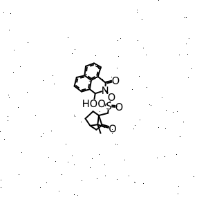 CC1(C)C2CCC1(CS(=O)(=O)ON1C(=O)c3cccc4cccc(c34)C1O)C(=O)C2